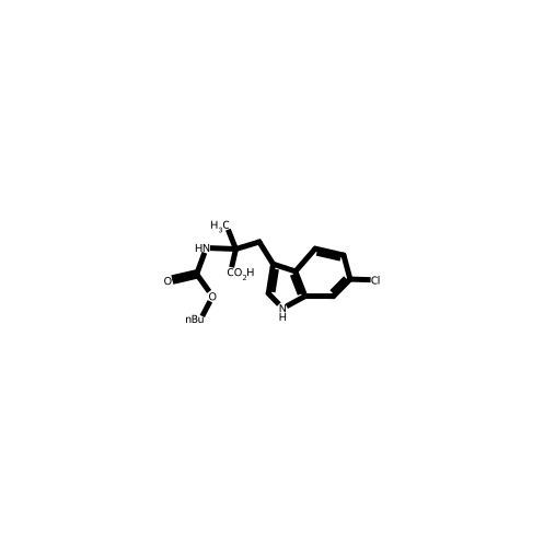 CCCCOC(=O)NC(C)(Cc1c[nH]c2cc(Cl)ccc12)C(=O)O